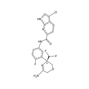 NC1=N[C@@](c2cc(NC(=O)c3ccc4c(Cl)c[nH]c4n3)ccc2F)(C(F)F)COC1